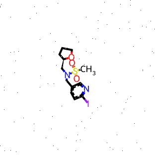 CS(=O)(=O)N(Cc1ccc(I)nc1)C[C@H]1CCCO1